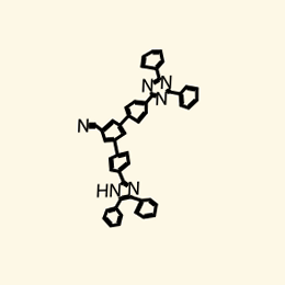 N#Cc1cc(-c2ccc(-c3nc(-c4ccccc4)nc(-c4ccccc4)n3)cc2)cc(-c2ccc(-c3nc(-c4ccccc4)c(-c4ccccc4)[nH]3)cc2)c1